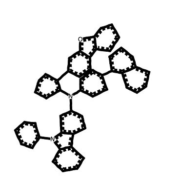 c1ccc(-n2c3ccccc3c3ccc(N(c4ccc(-c5cccc6ccccc56)cc4)c4ccccc4-c4ccc5c(c4)oc4ccccc45)cc32)cc1